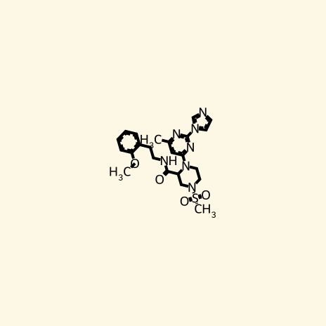 COc1ccccc1CCNC(=O)C1CN(S(C)(=O)=O)CCN1c1cc(C)nc(-n2ccnc2)n1